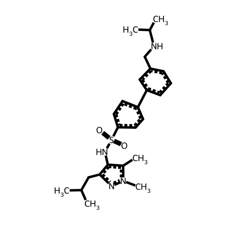 Cc1c(NS(=O)(=O)c2ccc(-c3cccc(CNC(C)C)c3)cc2)c(CC(C)C)nn1C